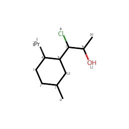 CC1CCC(C(C)C)C(C(Cl)C(C)O)C1